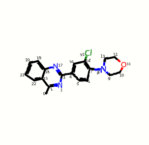 Cc1nc(-c2ccc(N3CCOCC3)c(Cl)c2)nc2ccccc12